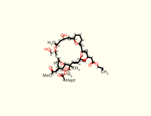 C=CCOC(=O)CC1C[C@H]2C[C@H]3CCC[C@@H](C[C@@H](O)CC(=C)O[C@@H](CO)C[C@@H]4C/C(=C\C(=O)OC)[C@H](OC(=O)CCCCCCC)[C@@](O)(O4)C(C)(C)/C=C/[C@@H](O1)O2)O3